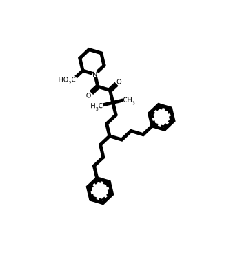 CC(C)(CCC(CCCc1ccccc1)CCCc1ccccc1)C(=O)C(=O)N1CCCCC1C(=O)O